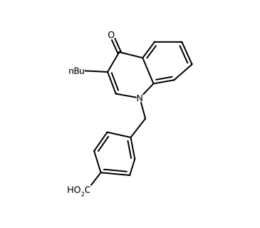 CCCCc1cn(Cc2ccc(C(=O)O)cc2)c2ccccc2c1=O